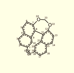 Brc1ccc2ccc3c(c2c1)-c1c(ccc2ccc(Br)cc12)OCO3